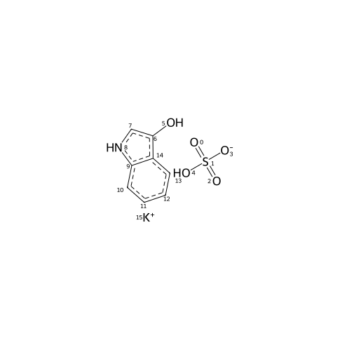 O=S(=O)([O-])O.Oc1c[nH]c2ccccc12.[K+]